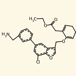 CCOC(=O)CC1=CCCC=C1OCc1coc2c(Cl)cc(-c3cccc(CN)c3)cc12